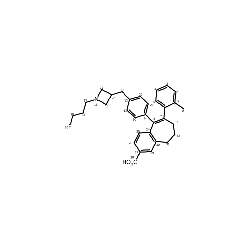 Cc1ccccc1C1=C(c2ccc(CC3CN(CCCF)C3)cc2)c2ccc(C(=O)O)cc2CCC1